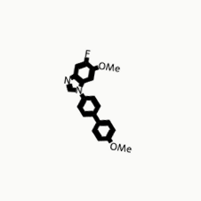 COc1ccc(-c2ccc(-n3cnc4cc(F)c(OC)cc43)cc2)cc1